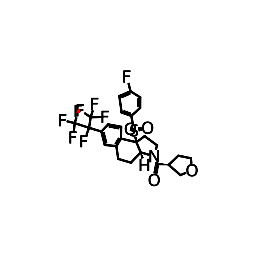 O=C([C@H]1CCOC1)N1CC[C@@]2(S(=O)(=O)c3ccc(F)cc3)c3ccc(C(F)(C(F)(F)F)C(F)(F)F)cc3CC[C@@H]12